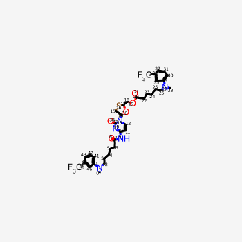 CN(CCCCCC(=O)Nc1ccn(C2CSC(COC(=O)CCCCCN(C)c3cccc(C(F)(F)F)c3)O2)c(=O)n1)c1cccc(C(F)(F)F)c1